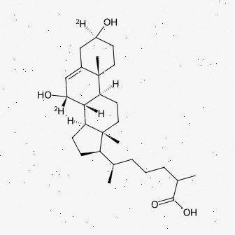 [2H][C@]1(O)CC[C@@]2(C)C(=C[C@@]([2H])(O)[C@H]3[C@@H]4CC[C@H]([C@H](C)CCCC(C)C(=O)O)[C@@]4(C)CC[C@@H]32)C1